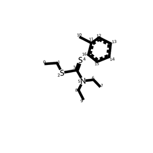 CCSC(=S)N(CC)CC.Cc1ccccc1